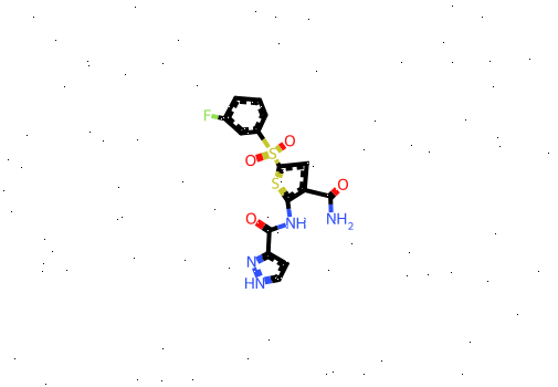 NC(=O)c1cc(S(=O)(=O)c2cccc(F)c2)sc1NC(=O)c1cc[nH]n1